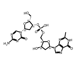 Cc1nc2c(ncn2[C@H]2C[C@@H](O)[C@@H](COP(=O)(O)O[C@@H]3C[C@H](n4cnc(N)nc4=O)O[C@@H]3CO)O2)c(=O)[nH]1